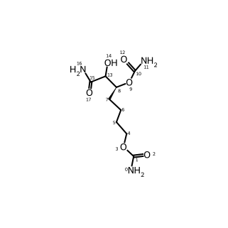 NC(=O)OCCCC[C@H](OC(N)=O)C(O)C(N)=O